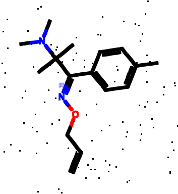 C=CCO/N=C(\c1ccc(C)cc1)C(C)(C)N(C)C